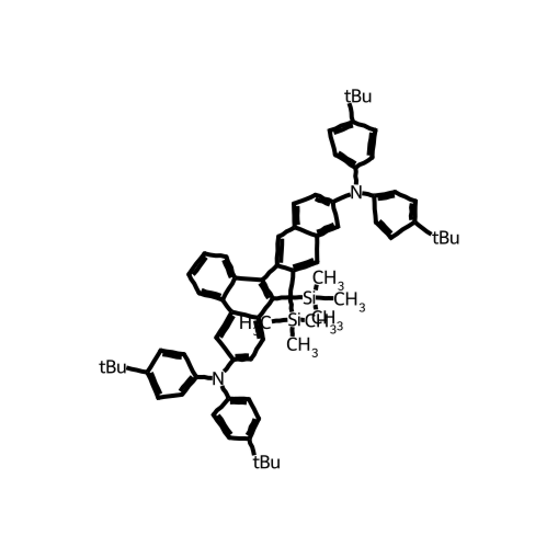 CC(C)(C)c1ccc(N(c2ccc(C(C)(C)C)cc2)c2ccc3cc4c(cc3c2)C([Si](C)(C)C)([Si](C)(C)C)c2c-4c3ccccc3c3cc(N(c4ccc(C(C)(C)C)cc4)c4ccc(C(C)(C)C)cc4)ccc23)cc1